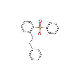 O=S(=O)(c1ccccc1)c1ccccc1CCc1ccccc1